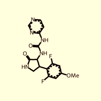 COc1cc(F)c(C2CNC(=O)C2NC(=O)Nc2ccncn2)c(F)c1